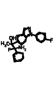 CC(O)(c1ccc2c(cnn2-c2ccc(F)cc2)c1)C(N)(F)c1ccccc1